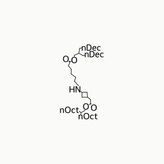 CCCCCCCCCCCC(CCCCCCCCCCC)COC(=O)CCCCCCNC1CC(CC(=O)OCC(CCCCCCCC)CCCCCCCC)C1